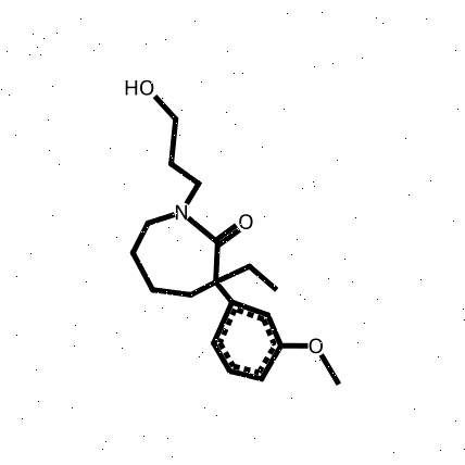 CCC1(c2cccc(OC)c2)CCCCN(CCCO)C1=O